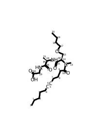 CCCCCCCCCCC(=O)N(C)[C@H](COCCCC)C(=O)N[C@H](C)C(=O)NCC(=O)O